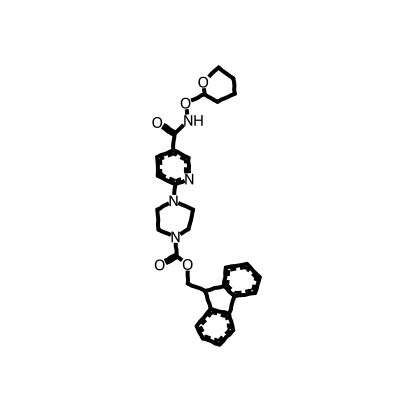 O=C(NOC1CCCCO1)c1ccc(N2CCN(C(=O)OCC3c4ccccc4-c4ccccc43)CC2)nc1